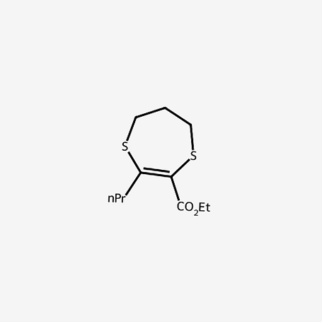 CCCC1=C(C(=O)OCC)SCCCS1